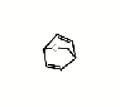 [C]1=CC2C=CC1CC2